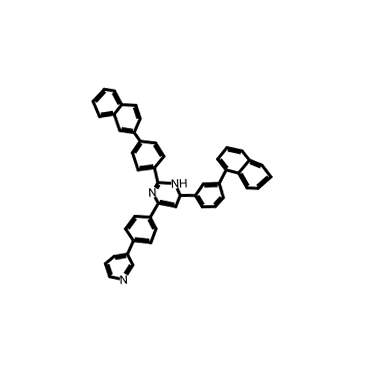 C1=C(c2ccc(-c3cccnc3)cc2)N=C(c2ccc(-c3ccc4ccccc4c3)cc2)NC1c1cccc(-c2cccc3ccccc23)c1